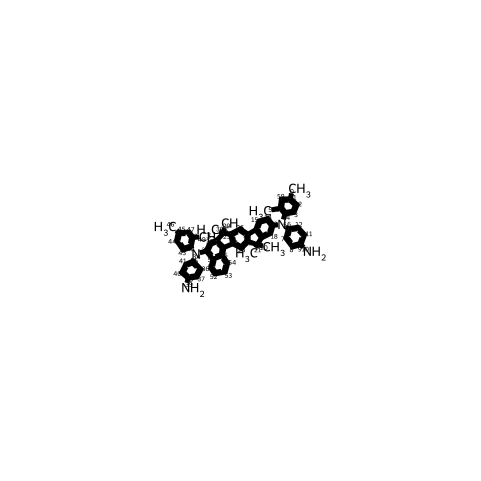 Cc1ccc(N(c2ccc(N)cc2)c2ccc3c(c2)C(C)(C)c2cc4c(cc2-3)C(C)(C)c2cc(N(c3ccc(N)cc3)c3ccc(C)cc3C)c3ccccc3c2-4)c(C)c1